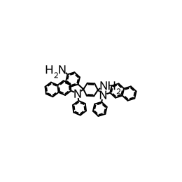 Nc1ccc(C2(N(c3ccccc3)c3ccc4ccccc4c3)C=CC(N)(N(c3ccccc3)c3ccc4ccccc4c3)C=C2)cc1